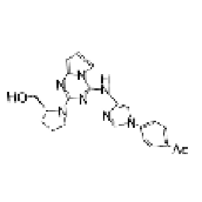 CC(=O)c1ccc(-n2cnc(Nc3nc(N4CCC[C@H]4CO)nc4cccn34)c2)cc1